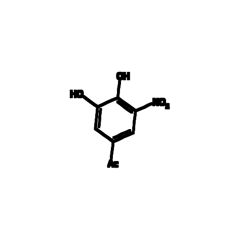 [CH2]C(=O)c1cc(O)c(O)c([N+](=O)[O-])c1